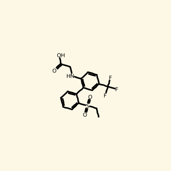 CCS(=O)(=O)c1ccccc1-c1cc(C(F)(F)F)ccc1NCC(=O)O